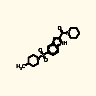 CC1CCN(S(=O)(=O)c2ccc3[nH]c(C(=O)N4CCCCC4)cc3c2)CC1